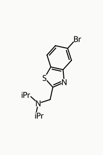 CC(C)N(Cc1nc2cc(Br)ccc2s1)C(C)C